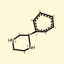 c1ccc([C@@H]2CNCCN2)cc1